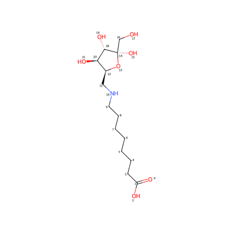 O=C(O)CCCCCCCNC[C@@H]1O[C@](O)(CO)[C@@H](O)[C@@H]1O